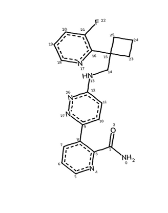 NC(=O)c1ncccc1-c1ccc(NCC2(c3ncccc3F)CCC2)nn1